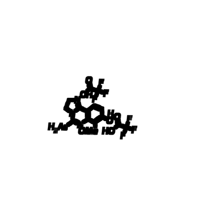 COc1c(O)ccc2c1N=C([AsH2])N1CCN=C21.O=C(O)C(F)(F)F.O=C(O)C(F)(F)F